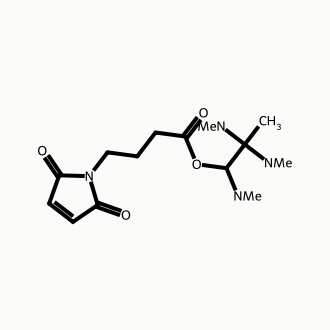 CNC(OC(=O)CCCN1C(=O)C=CC1=O)C(C)(NC)NC